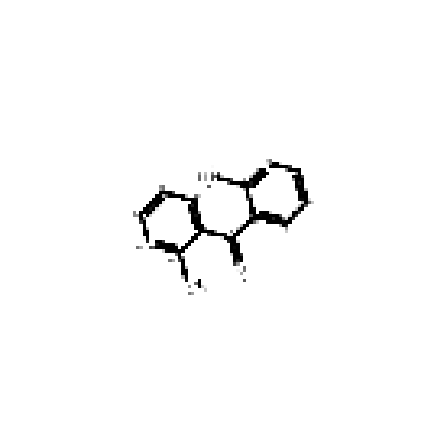 Nc1ncccc1C(=O)c1cccnc1N